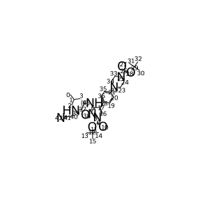 CC(C)C[C@H](Nc1nn(C(=O)OC(C)(C)C)cc1-c1ccc(N2CCN(C(=O)OC(C)(C)C)CC2)cc1)C(=O)NCC#N